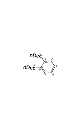 CCCCCCCCCCc1ccccc1CCCCCCCCCC